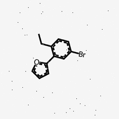 CCc1ccc(Br)cc1-c1ccco1